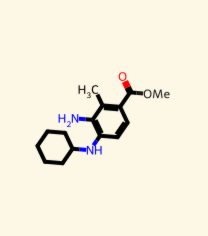 COC(=O)c1ccc(NC2CCCCC2)c(N)c1C